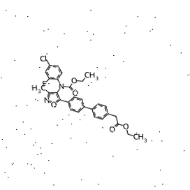 CCOC(=O)Cc1ccc(-c2ccc(-c3onc(C)c3N(C(=O)OCC)c3ccc(Cl)cc3F)cc2)cc1